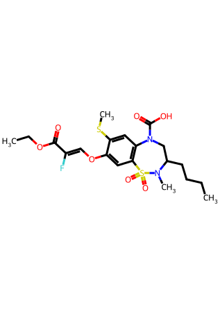 CCCCC1CN(C(=O)O)c2cc(SC)c(O/C=C(\F)C(=O)OCC)cc2S(=O)(=O)N1C